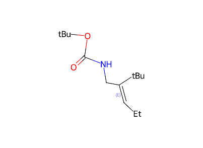 CC/C=C(/CNC(=O)OC(C)(C)C)C(C)(C)C